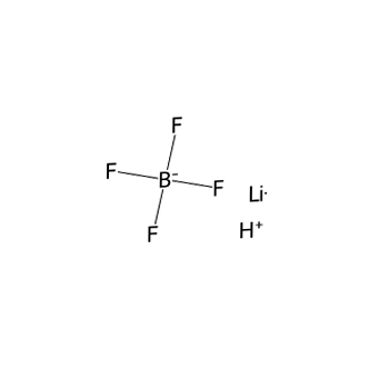 F[B-](F)(F)F.[H+].[Li]